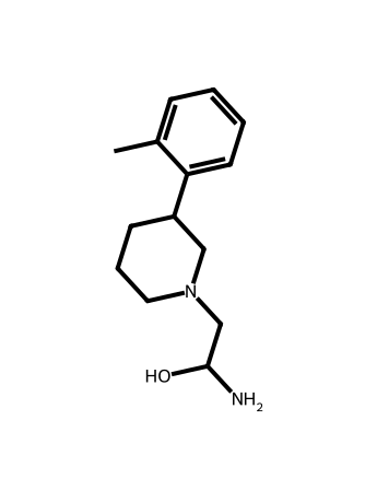 Cc1ccccc1C1CCCN(CC(N)O)C1